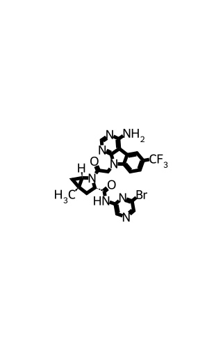 C[C@@]12C[C@@H](C(=O)Nc3cncc(Br)n3)N(C(=O)Cn3c4ccc(C(F)(F)F)cc4c4c(N)ncnc43)[C@@H]1C2